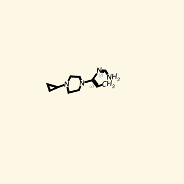 C/C=C(\N=C/N)N1CCN(C2CC2)CC1